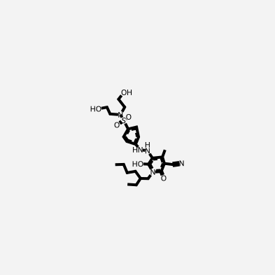 CCCCC(CC)Cn1c(O)c(NNc2ccc(S(=O)(=O)N(CCO)CCO)cc2)c(C)c(C#N)c1=O